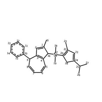 CC1=CC2=C(C=CC=CC2c2ccccc2)C1[Si](C)(C)C1=C(C)C=C(C(C)C)C1